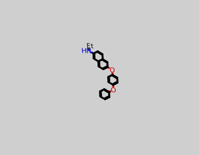 CCNc1ccc2cc(Oc3ccc(Oc4ccccc4)cc3)ccc2c1